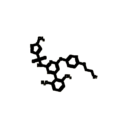 Cc1cccc(C)c1-c1cc(Oc2ccc(OCCC(C)C)nc2)nc(NS(=O)(=O)c2cnn(C)c2)n1